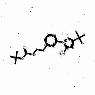 CC(C)(C)OC(=O)NCCc1cccc(-n2nc(C(C)(C)C)cc2N)c1